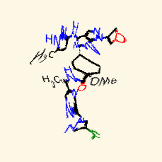 CO[C@]1(C(=O)N[C@@H](C)c2cnc(-n3cc(F)cn3)cn2)CC[C@@H](c2nc(Nc3cc(C)[nH]n3)c3cnn(C4COC4)c3n2)CC1